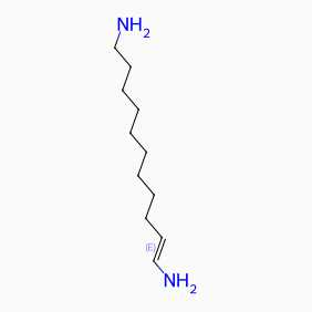 N/C=C/CCCCCCCCCN